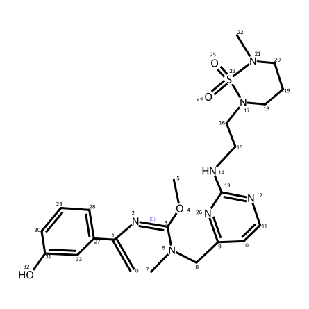 C=C(/N=C(/OC)N(C)Cc1ccnc(NCCN2CCCN(C)S2(=O)=O)n1)c1cccc(O)c1